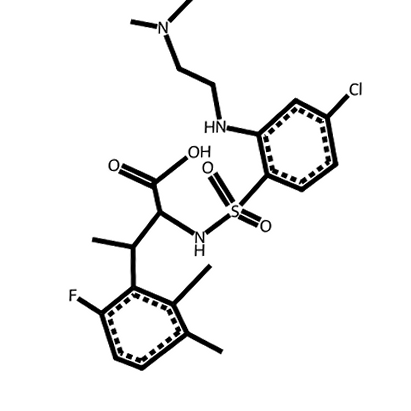 Cc1ccc(F)c(C(C)C(NS(=O)(=O)c2ccc(Cl)cc2NCCN(C)C)C(=O)O)c1C